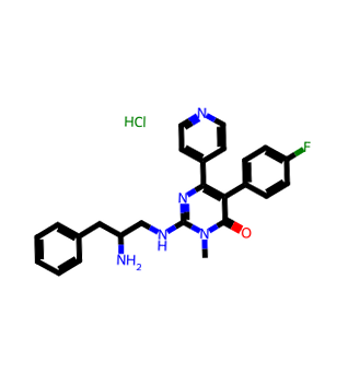 Cl.Cn1c(NCC(N)Cc2ccccc2)nc(-c2ccncc2)c(-c2ccc(F)cc2)c1=O